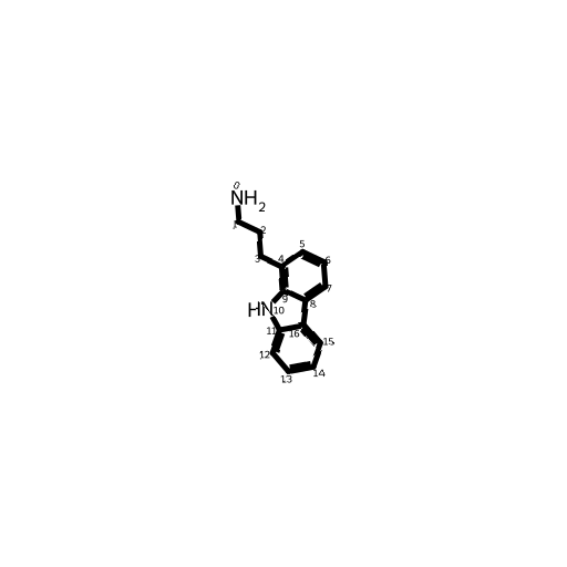 NCCCc1cccc2c1[nH]c1ccccc12